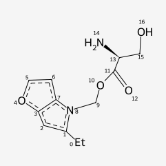 CCc1cc2occc2n1COC(=O)[C@@H](N)CO